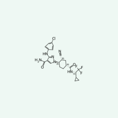 N#C[C@@H]1C[C@H](C(=O)N[C@@H](C2CC2)C(F)(F)F)CC[C@H]1n1cc(C(N)=O)c(Nc2ccc(Cl)cc2)n1